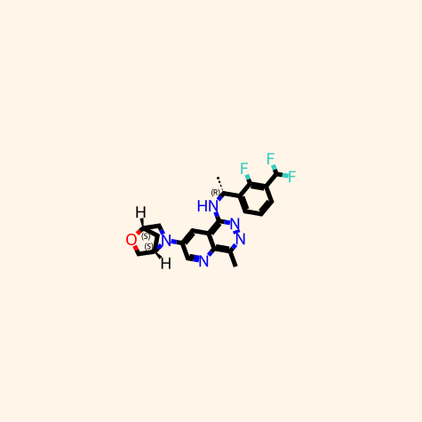 Cc1nnc(N[C@H](C)c2cccc(C(F)F)c2F)c2cc(N3C[C@@H]4C[C@H]3CO4)cnc12